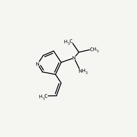 C/C=C\c1cnccc1N(N)C(C)C